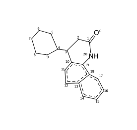 O=C1CC(C2CCCCC2)c2ccc3ccccc3c2N1